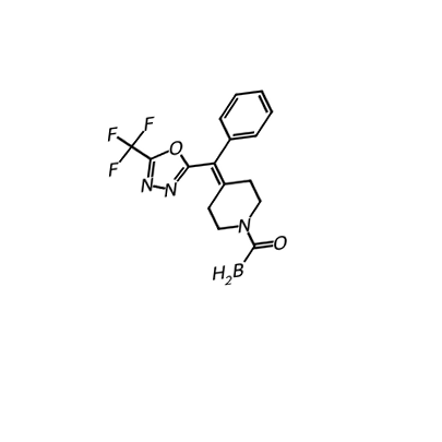 BC(=O)N1CCC(=C(c2ccccc2)c2nnc(C(F)(F)F)o2)CC1